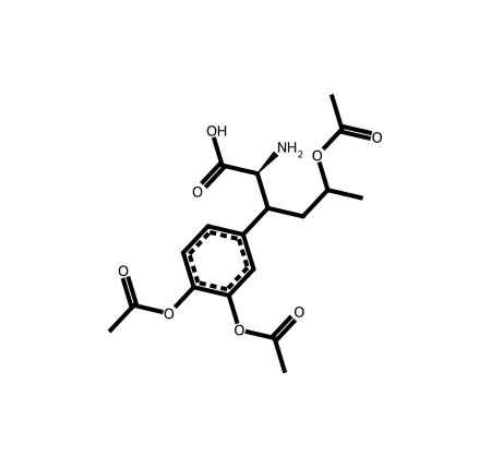 CC(=O)Oc1ccc(C(CC(C)OC(C)=O)[C@H](N)C(=O)O)cc1OC(C)=O